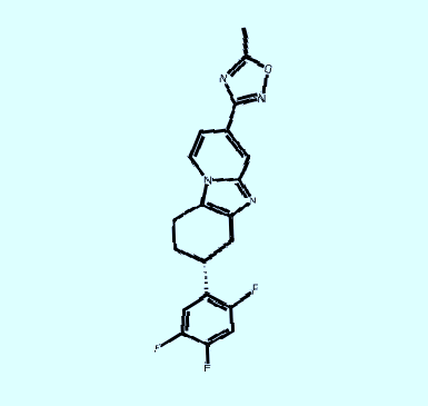 Cc1nc(-c2ccn3c4c(nc3c2)C[C@H](c2cc(F)c(F)cc2F)CC4)no1